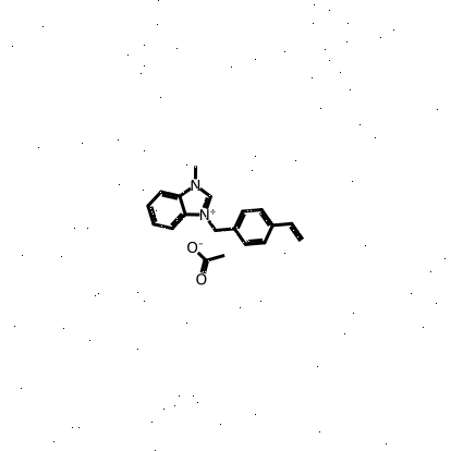 C=Cc1ccc(C[n+]2cn(C)c3ccccc32)cc1.CC(=O)[O-]